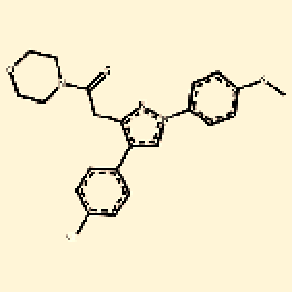 CSc1ccc(-n2cc(-c3ccc(Cl)cc3)c(CC(=S)N3CCOCC3)n2)cc1